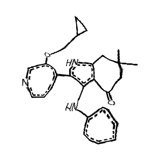 CC1(C)CC(=O)c2c([nH]c(-c3ccncc3OCC3CC3)c2Nc2ccccc2)C1